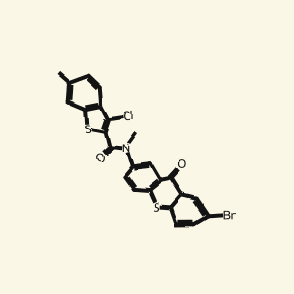 Cc1ccc2c(Cl)c(C(=O)N(C)c3ccc4c(c3)C(=O)C3C=C(Br)C=CC3S4)sc2c1